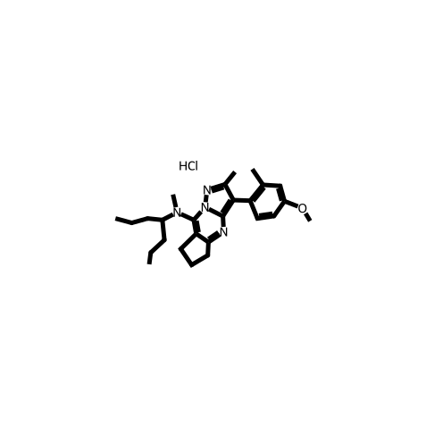 CCCC(CCC)N(C)c1c2c(nc3c(-c4ccc(OC)cc4C)c(C)nn13)CCC2.Cl